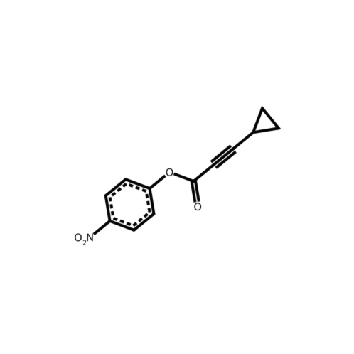 O=C(C#CC1CC1)Oc1ccc([N+](=O)[O-])cc1